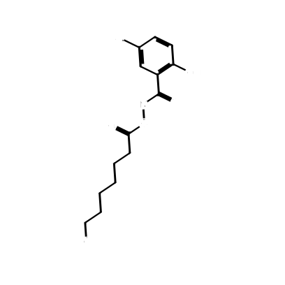 CCCCCCCC(=O)ONC(=O)c1cc(Cl)ccc1O